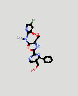 CN1C(=O)C(NC(=O)c2ncc(CO)c(-c3ccccc3)n2)COc2cc(Cl)cnc21